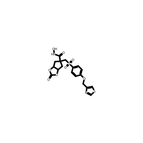 O=C1OC2CC(CS(=O)(=O)c3ccc(OCc4cscn4)cc3)(C(=O)NO)CC2O1